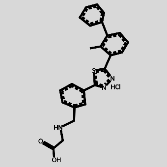 Cc1c(-c2ccccc2)cccc1-c1nnc(-c2cccc(CNCC(=O)O)c2)s1.Cl